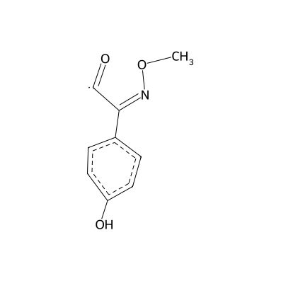 CO/N=C(\[C]=O)c1ccc(O)cc1